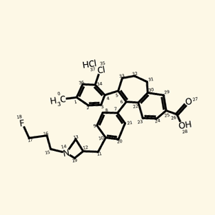 Cc1ccc(C2=C(c3ccc(CC4CN(CCCF)C4)cc3)c3ccc(C(=O)O)cc3CCC2)c(Cl)c1.Cl